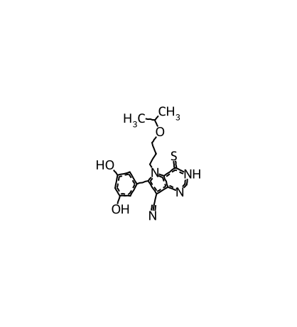 CC(C)OCCCn1c(-c2cc(O)cc(O)c2)c(C#N)c2nc[nH]c(=S)c21